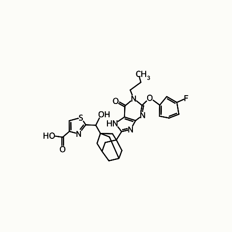 CCCn1c(Oc2cccc(F)c2)nc2nc(C34CC5CC(C3)CC(C(O)c3nc(C(=O)O)cs3)(C5)C4)[nH]c2c1=O